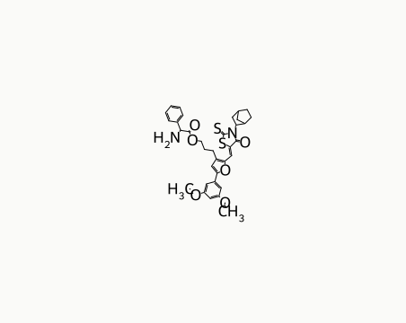 COc1cc(OC)cc(-c2cc(CCCOC(=O)[C@@H](N)c3ccccc3)c(/C=C3\SC(=S)N(C4CC5CCC4C5)C3=O)o2)c1